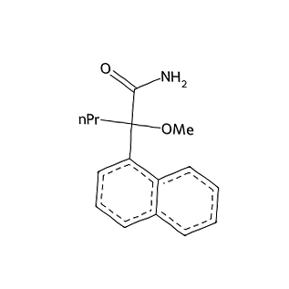 CCCC(OC)(C(N)=O)c1cccc2ccccc12